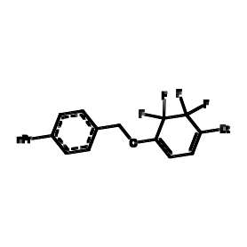 CCCc1ccc(COC2=CC=C(CC)C(F)(F)C2(F)F)cc1